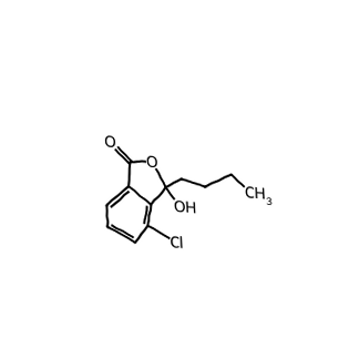 CCCCC1(O)OC(=O)c2cccc(Cl)c21